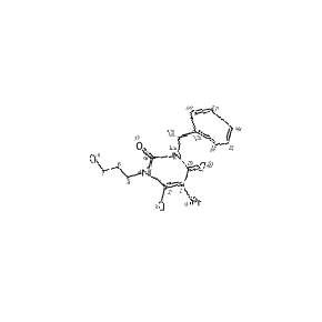 CC(C)c1c(Cl)n(CCCCl)c(=O)n(Cc2ccccc2)c1=O